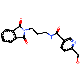 O=C(NCCCN1C(=O)c2ccccc2C1=O)c1ccc(CO)nc1